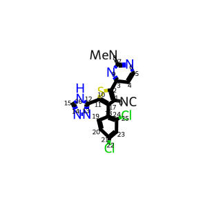 [C-]#[N+]c1c(-c2ccnc(NC)n2)sc(-c2nnc[nH]2)c1-c1ccc(Cl)cc1Cl